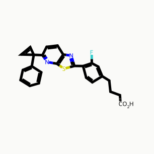 O=C(O)CCCc1ccc(-c2nc3ccc(C4(c5ccccc5)C=C4)nc3s2)c(F)c1